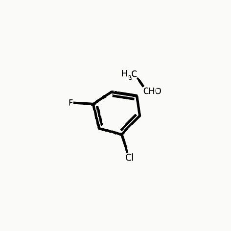 CC=O.Fc1cccc(Cl)c1